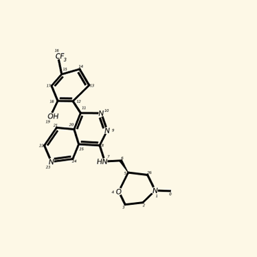 CN1CCO[C@@H](CNc2nnc(-c3ccc(C(F)(F)F)cc3O)c3ccncc23)C1